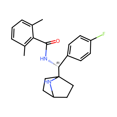 Cc1cccc(C)c1C(=O)N[C@H](c1ccc(F)cc1)C12CCC(CC1)N2